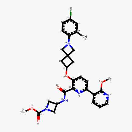 CCOc1ncccc1-c1ccc(OC2CC3(C2)CN(c2ccc(F)cc2C#N)C3)c(C(=O)NC2CN(C(=O)OC(C)(C)C)C2)n1